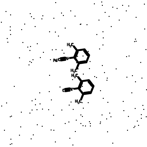 [C-]#[N+]c1c(C)cccc1C.[C-]#[N+]c1c(C)cccc1C.[Pd]